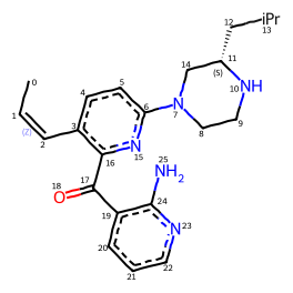 C/C=C\c1ccc(N2CCN[C@@H](CC(C)C)C2)nc1C(=O)c1cccnc1N